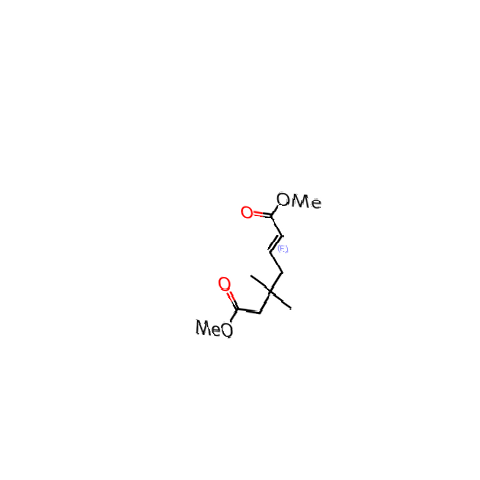 COC(=O)/C=C/CC(C)(C)CC(=O)OC